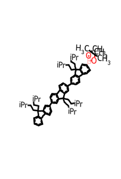 CC(C)CCC1(CCC(C)C)c2ccccc2-c2ccc(-c3ccc4c(c3)C(CCC(C)C)(CCC(C)C)c3cc(-c5ccc6c(c5)C(CCC(C)C)(CCC(C)C)c5cc(B7OC(C)(C)C(C)(C)O7)ccc5-6)ccc3-4)cc21